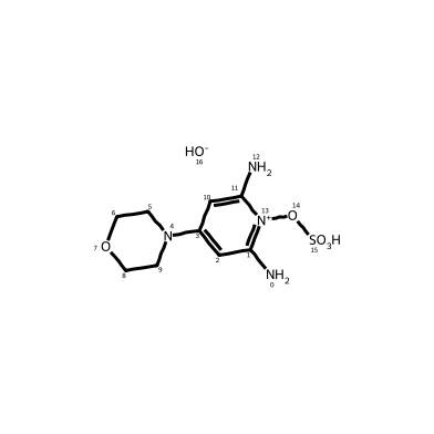 Nc1cc(N2CCOCC2)cc(N)[n+]1OS(=O)(=O)O.[OH-]